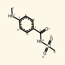 CNc1ccc(C(=O)NS(C)(=O)=O)cc1